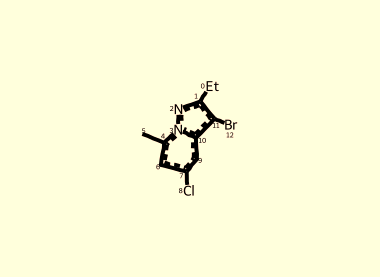 CCc1nn2c(C)cc(Cl)cc2c1Br